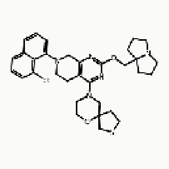 CCc1cccc2cccc(N3CCc4c(nc(OCC56CCCN5CCC6)nc4N4CCOC5(CCSC5)C4)C3)c12